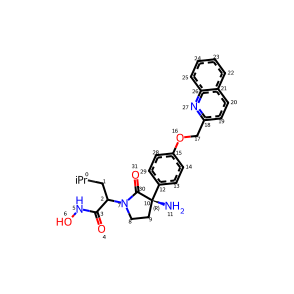 CC(C)CC(C(=O)NO)N1CC[C@@](N)(c2ccc(OCc3ccc4ccccc4n3)cc2)C1=O